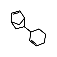 C1=CC(C2CC3C=CC2C3)CCC1